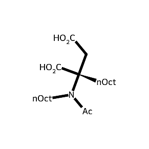 CCCCCCCCN(C(C)=O)[C@@](CCCCCCCC)(CC(=O)O)C(=O)O